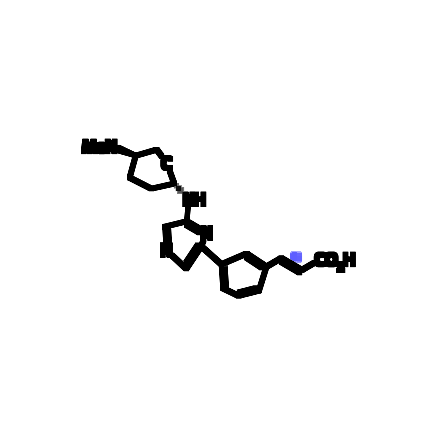 CN[C@H]1CC[C@H](Nc2cncc(-c3cccc(/C=C/C(=O)O)c3)n2)CC1